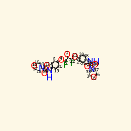 O=C(C(F)Oc1ccc(NS(=O)(=O)N2CCOCC2)cc1)C(F)Oc1ccc(NS(=O)(=O)N2CCOCC2)cc1